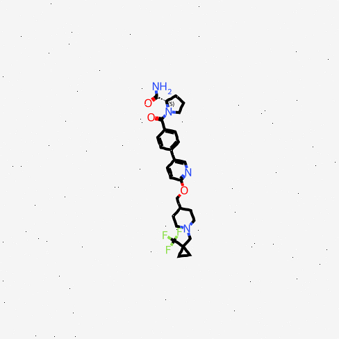 NC(=O)[C@@H]1CCCN1C(=O)c1ccc(-c2ccc(OCC3CCN(CC4(C(F)(F)F)CC4)CC3)nc2)cc1